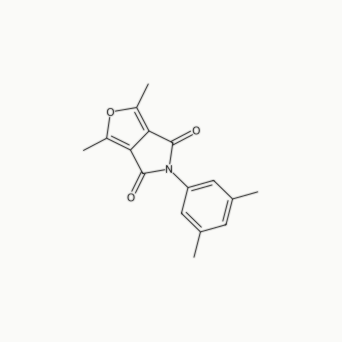 Cc1cc(C)cc(N2C(=O)c3c(C)oc(C)c3C2=O)c1